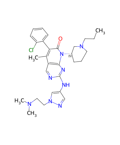 CCCN1CCC[C@H](n2c(=O)c(-c3ccccc3Cl)c(C)c3cnc(Nc4cnn(CCN(C)C)c4)nc32)C1